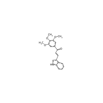 COc1cc(C(=O)/C=C/c2c[nH]c3ccccc23)cc(OC)c1OC